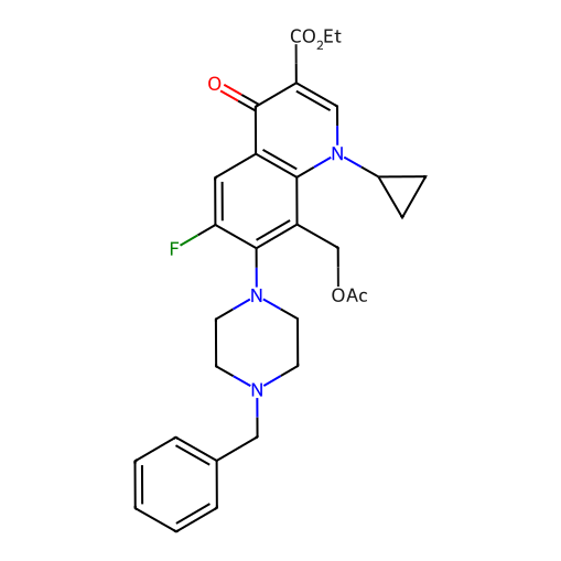 CCOC(=O)c1cn(C2CC2)c2c(COC(C)=O)c(N3CCN(Cc4ccccc4)CC3)c(F)cc2c1=O